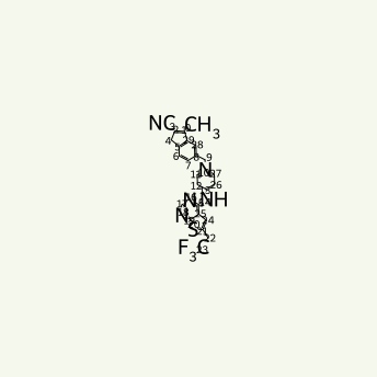 CC1=C(C#N)Cc2ccc(CN3CCC(Nc4ncnc5sc(CC(F)(F)F)cc45)CC3)cc21